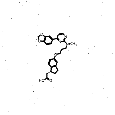 CN(CCCOc1ccc2c(c1)CC[C@H]2CC(=O)O)c1nccc(-c2ccc3c(c2)OCO3)n1